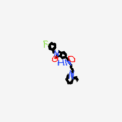 CCC1CCCCN1CCCNC(=O)c1ccc2c(c1)C(=O)N(Cc1cccc(F)c1)C2